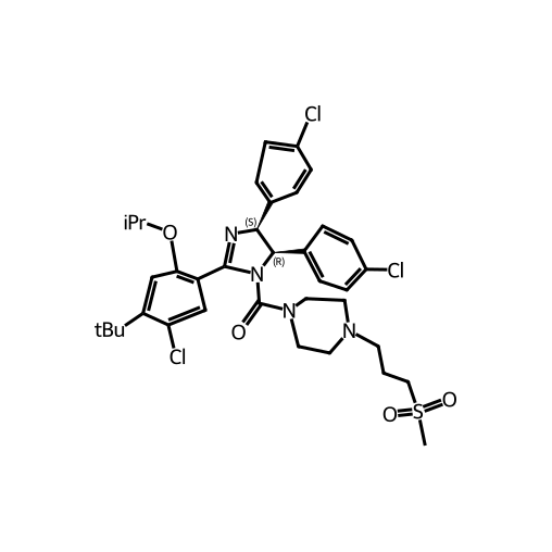 CC(C)Oc1cc(C(C)(C)C)c(Cl)cc1C1=N[C@@H](c2ccc(Cl)cc2)[C@@H](c2ccc(Cl)cc2)N1C(=O)N1CCN(CCCS(C)(=O)=O)CC1